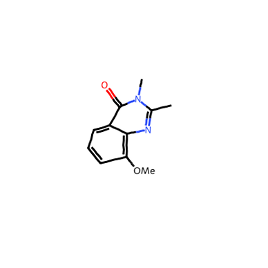 COc1cccc2c(=O)n(C)c(C)nc12